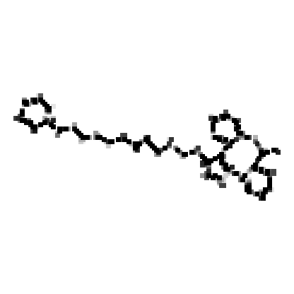 CN1Cc2ccccc2-c2c(nnn2CCOCCOCCOCCOc2cccnc2)-c2ccccc21